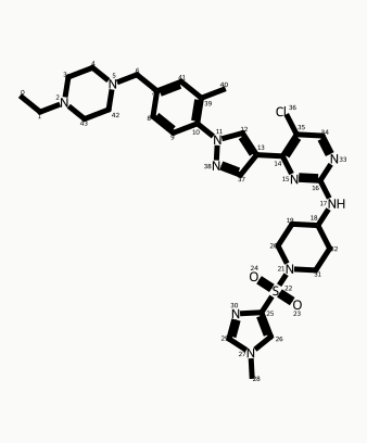 CCN1CCN(Cc2ccc(-n3cc(-c4nc(NC5CCN(S(=O)(=O)c6cn(C)cn6)CC5)ncc4Cl)cn3)c(C)c2)CC1